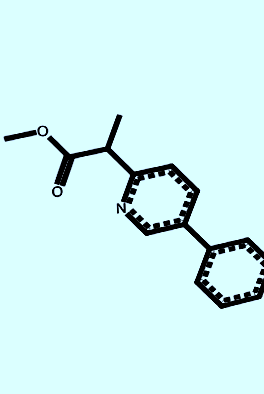 COC(=O)C(C)c1ccc(-c2ccccc2)cn1